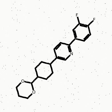 Fc1ccc(-c2ccc(C3CCC(C4OCCCO4)CC3)cn2)cc1F